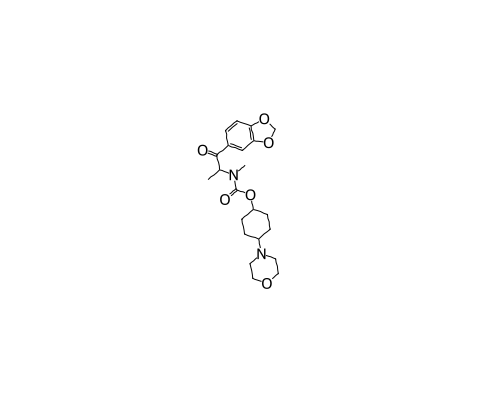 CC(C(=O)c1ccc2c(c1)OCO2)N(C)C(=O)OC1CCC(N2CCOCC2)CC1